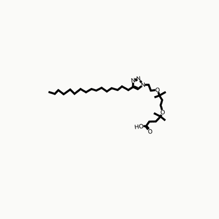 CCCCCCCCCCCCCCCCc1cn(CCOC(C)(C)CCOC(C)(C)CCC(=O)O)nn1